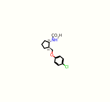 O=C(O)N[C@H]1CCC[C@@H]1COc1ccc(Cl)cc1